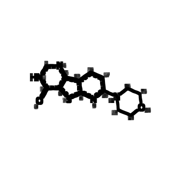 O=c1[nH]cnc2c1sc1nc(N3CCOCC3)ccc12